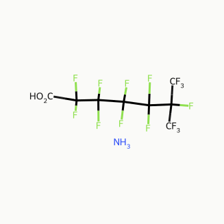 N.O=C(O)C(F)(F)C(F)(F)C(F)(F)C(F)(F)C(F)(C(F)(F)F)C(F)(F)F